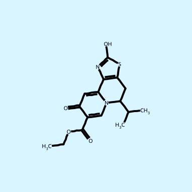 CCOC(=O)c1cn2c(cc1=O)-c1nc(O)sc1CC2C(C)C